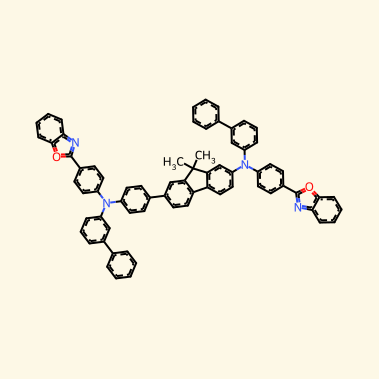 CC1(C)c2cc(-c3ccc(N(c4ccc(-c5nc6ccccc6o5)cc4)c4cccc(-c5ccccc5)c4)cc3)ccc2-c2ccc(N(c3ccc(-c4nc5ccccc5o4)cc3)c3cccc(-c4ccccc4)c3)cc21